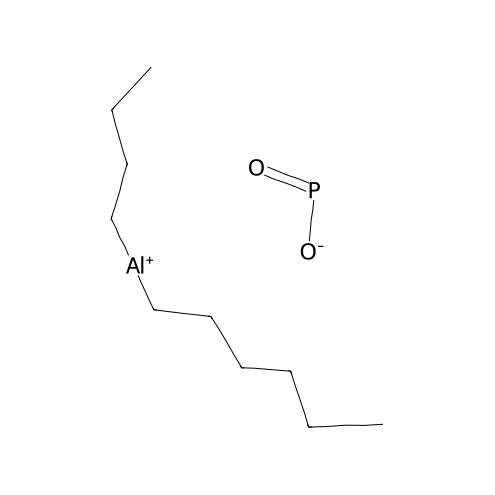 CCCCC[CH2][Al+][CH2]CCC.O=P[O-]